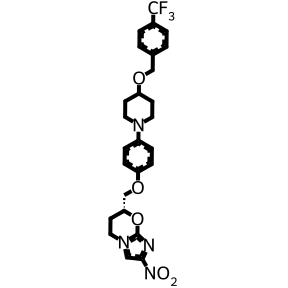 O=[N+]([O-])c1cn2c(n1)O[C@@H](COc1ccc(N3CCC(OCc4ccc(C(F)(F)F)cc4)CC3)cc1)CC2